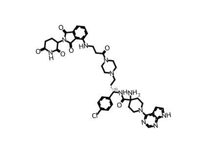 NC1(C(=O)N[C@@H](CCN2CCN(C(=O)CCNc3cccc4c3C(=O)N(C3CCC(=O)NC3=O)C4=O)CC2)c2ccc(Cl)cc2)CCN(c2ncnc3[nH]ccc23)CC1